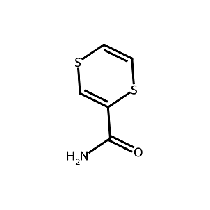 NC(=O)C1=CSC=CS1